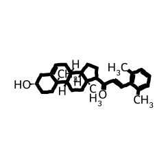 Cc1cccc(C)c1/C=C/C(=O)C1CC[C@H]2[C@@H]3CC=C4C[C@@H](O)CC[C@]4(C)[C@H]3CC[C@]12C